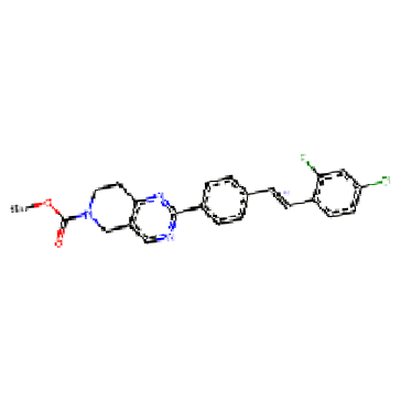 CC(C)(C)OC(=O)N1CCc2nc(-c3ccc(/C=C/c4ccc(Cl)cc4F)cc3)ncc2C1